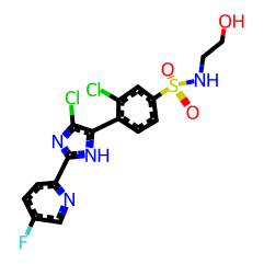 O=S(=O)(NCCO)c1ccc(-c2[nH]c(-c3ccc(F)cn3)nc2Cl)c(Cl)c1